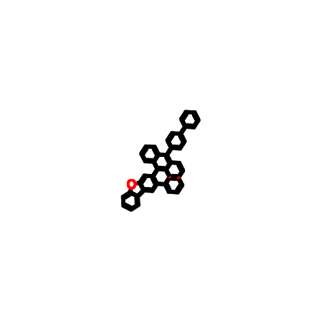 c1ccc(-c2ccc(-c3c4ccccc4c(-c4cc5oc6ccccc6c5cc4-c4ccccc4)c4ccccc34)cc2)cc1